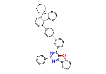 c1ccc(-c2nc(-c3cccc(-c4ccc(-c5cccc6c5-c5ccccc5C65CCCCC5)cc4)c3)c3oc4ccccc4c3n2)cc1